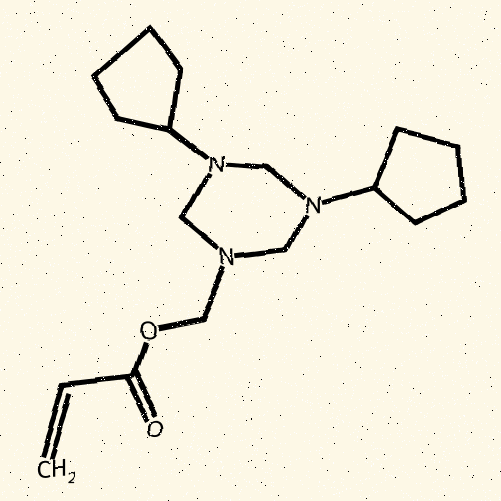 C=CC(=O)OCN1CN(C2CCCC2)CN(C2CCCC2)C1